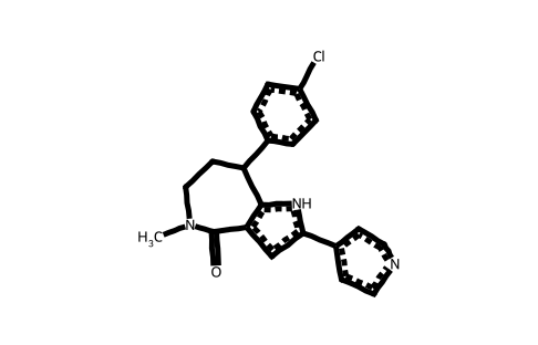 CN1CCC(c2ccc(Cl)cc2)c2[nH]c(-c3ccncc3)cc2C1=O